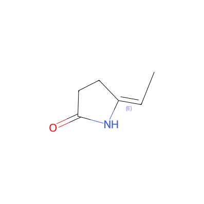 C/C=C1\CCC(=O)N1